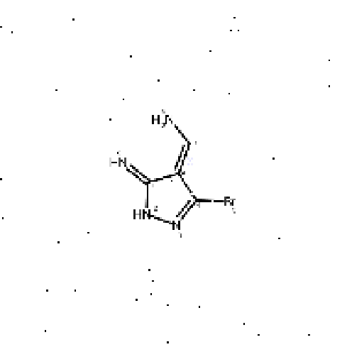 N=C1NN=C(Br)/C1=C/N